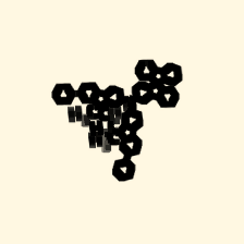 CC1(C)c2cc(-c3ccccc3)ccc2-c2ccc(N(c3ccc4c(c3)-c3ccccc3C43c4ccccc4-c4ccccc43)c3ccc4c(c3)C(C)(C)c3cc(-c5ccccc5)ccc3-4)cc21